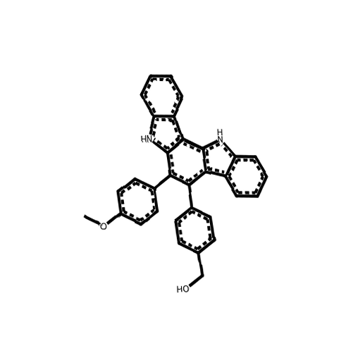 COc1ccc(-c2c(-c3ccc(CO)cc3)c3c4ccccc4[nH]c3c3c2[nH]c2ccccc23)cc1